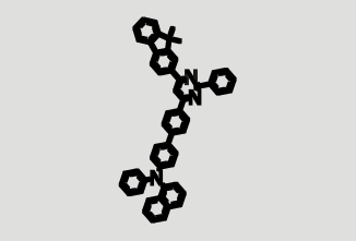 CC1(C)c2ccccc2-c2ccc(-c3cc(-c4ccc(-c5ccc(N(c6ccccc6)c6cccc7ccccc67)cc5)cc4)nc(-c4ccccc4)n3)cc21